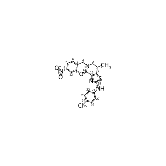 CCCN(Cc1ccc([N+](=O)[O-])cc1)C(=O)c1csc(Nc2ccc(Cl)cc2)n1